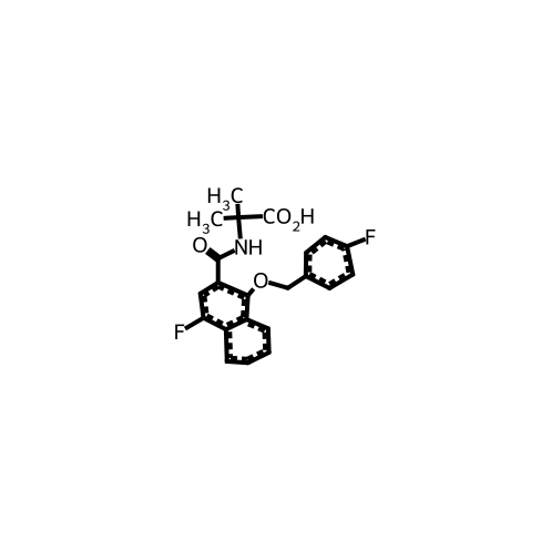 CC(C)(NC(=O)c1cc(F)c2ccccc2c1OCc1ccc(F)cc1)C(=O)O